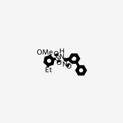 CCc1ccc(OC)c(S(=O)(=O)Nc2noc3c(-c4ccccc4)cccc23)c1